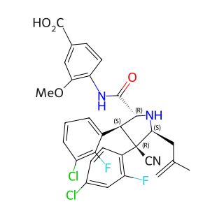 C=C(C)C[C@@H]1N[C@@H](C(=O)Nc2ccc(C(=O)O)cc2OC)[C@H](c2cccc(Cl)c2F)[C@@]1(C#N)c1ccc(Cl)cc1F